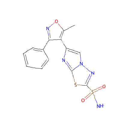 Cc1onc(-c2ccccc2)c1-c1cn2nc(S([NH])(=O)=O)sc2n1